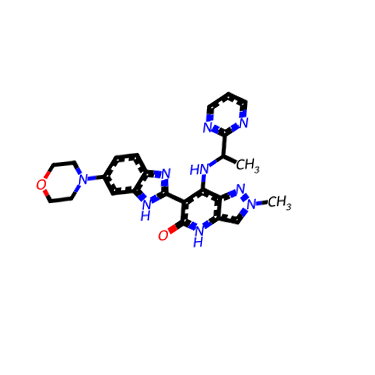 CC(Nc1c(-c2nc3ccc(N4CCOCC4)cc3[nH]2)c(=O)[nH]c2cn(C)nc12)c1ncccn1